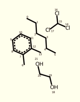 CCCCCC.Cc1ccccc1C.ClC(Cl)Cl.OCCO